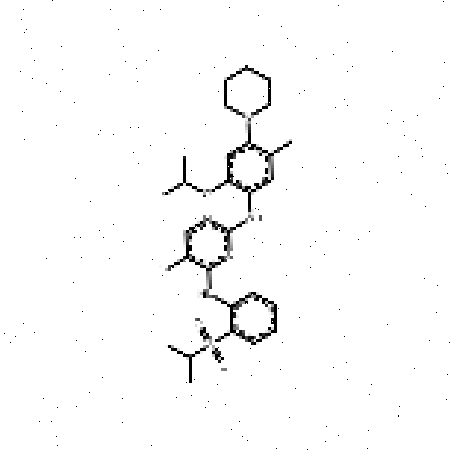 Cc1cc(Nc2ncc(Cl)c(Nc3ccccc3S(=O)(=O)C(C)C)n2)c(OC(C)C)cc1N1CCCCC1